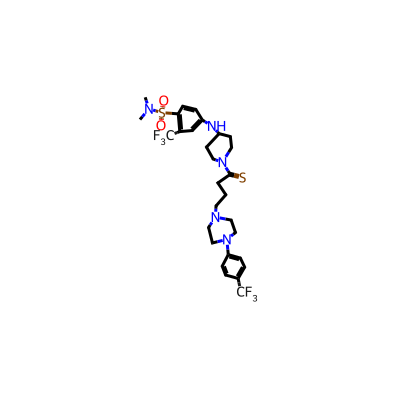 CN(C)S(=O)(=O)c1ccc(NC2CCN(C(=S)CCCN3CCN(c4ccc(C(F)(F)F)cc4)CC3)CC2)cc1C(F)(F)F